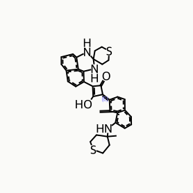 C=c1/c(=C2/C(=O)C(c3ccc4cccc5c4c3NC3(CCSCC3)N5)=C2O)ccc2cccc(NC3(C)CCSCC3)c12